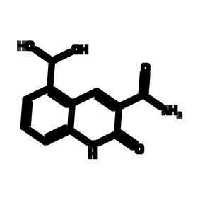 NC(=O)c1cc2c(C(O)O)cccc2[nH]c1=O